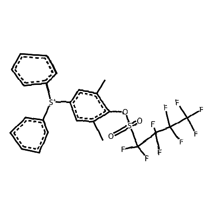 Cc1cc([S+](c2ccccc2)c2ccccc2)cc(C)c1OS(=O)(=O)C(F)(F)C(F)(F)C(F)(F)C(F)(F)F